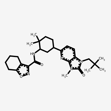 Cn1c(=O)n(CC(C)(C)C)c2ccc(C3CCC(C)(C)C(NC(=O)c4noc5c4CCCC5)C3)nc21